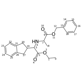 CCOC(=O)C(NC(C)C(=O)OCc1ccccc1)C1Cc2ccccc2C1